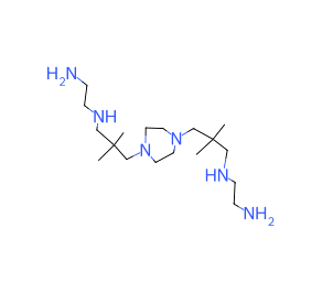 CC(C)(CNCCN)CN1CCN(CC(C)(C)CNCCN)CC1